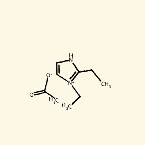 CC(=O)[O-].CCc1[nH]cc[n+]1CC